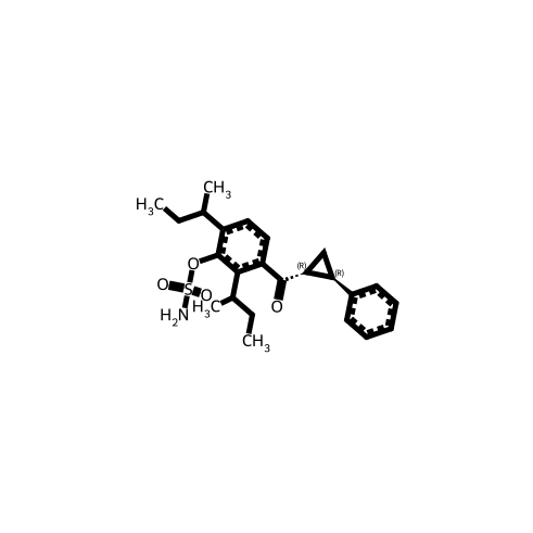 CCC(C)c1ccc(C(=O)[C@@H]2C[C@H]2c2ccccc2)c(C(C)CC)c1OS(N)(=O)=O